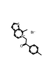 Cc1ccc(C(=O)C[n+]2ccc3ccsc3c2C)cc1.[Br-]